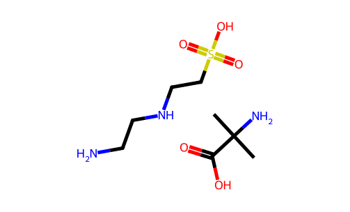 CC(C)(N)C(=O)O.NCCNCCS(=O)(=O)O